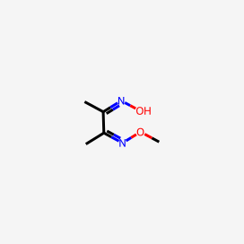 CO/N=C(C)\C(C)=N/O